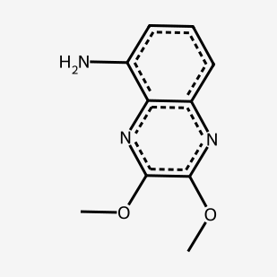 COc1nc2cccc(N)c2nc1OC